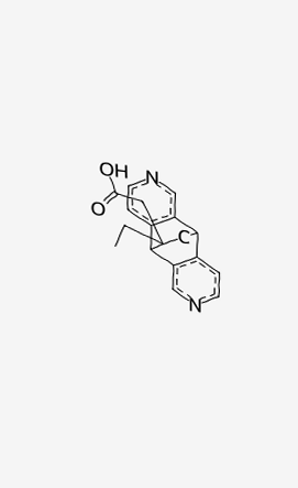 CCC1(CC(=O)O)CC2c3cnccc3C1c1cnccc12